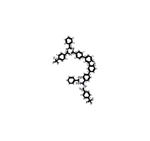 C[C@@H](/N=C(\NC(N)C1=CCCC=C1)c1ccc(-c2ccc3sc4ccc(-c5ccc(-c6nc(-c7ccccc7)nc(-c7ccc(C(F)(F)F)cc7)n6)cc5)cc4c3c2)cc1)c1ccc(C(F)(F)F)cc1